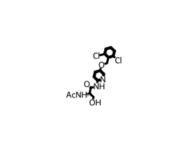 CC(=O)N[C@H](CO)C(=O)Nc1ccc(OCc2c(Cl)cccc2Cl)cn1